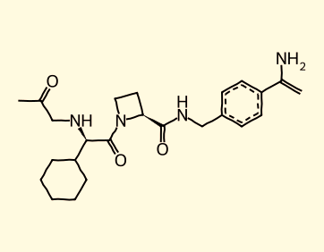 C=C(N)c1ccc(CNC(=O)[C@@H]2CCN2C(=O)[C@H](NCC(C)=O)C2CCCCC2)cc1